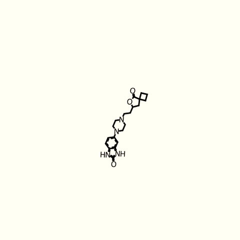 O=C1OC(CCN2CCN(c3ccc4[nH]c(=O)[nH]c4c3)CC2)CC12CCC2